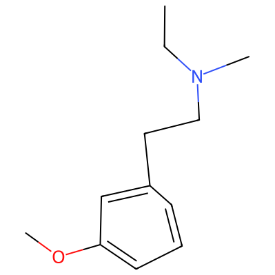 CCN(C)CCc1cccc(OC)c1